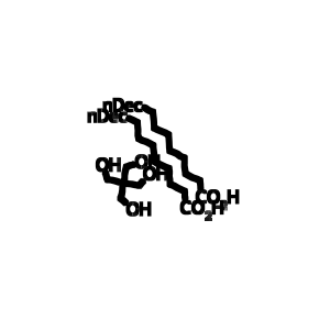 CCCCCCCCCCCCCCCCCC(=O)O.CCCCCCCCCCCCCCCCCC(=O)O.OCC(CO)(CO)CO